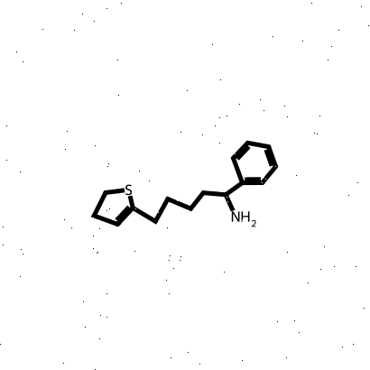 NC(CCCCC1=CCCS1)c1ccccc1